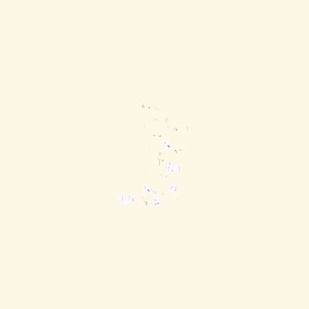 CON=C(C(=O)N[C@@H]1C(=O)N2C(C(=O)O)=C(COC(C)=O)CS[C@H]12)c1nsc(N)n1